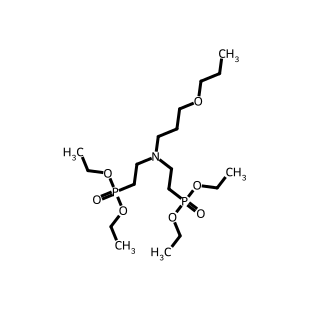 CCCOCCCN(CCP(=O)(OCC)OCC)CCP(=O)(OCC)OCC